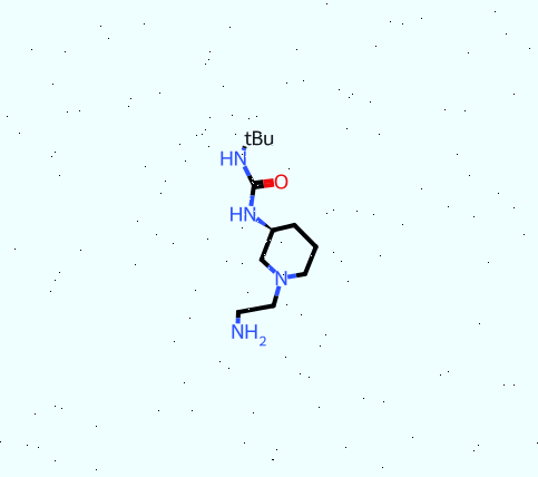 CC(C)(C)NC(=O)N[C@H]1CCCN(CCN)C1